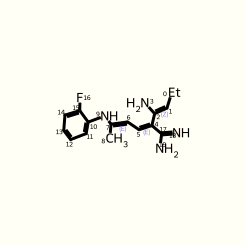 CC/C=C(N)/C(=C\C=C(/C)Nc1ccccc1F)C(=N)N